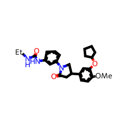 CCNC(=O)Nc1cccc(N2CC(c3ccc(OC)c(OC4CCCC4)c3)CC2=O)c1